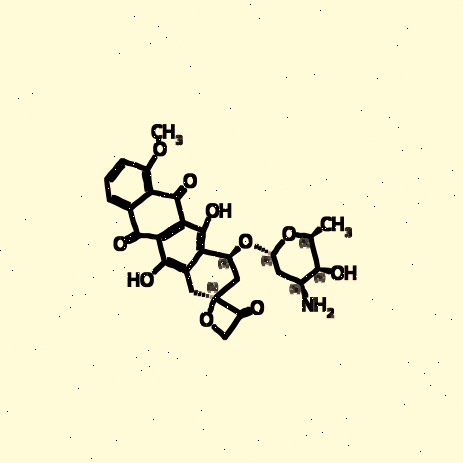 COc1cccc2c1C(=O)c1c(O)c3c(c(O)c1C2=O)C[C@@]1(C[C@@H]3O[C@H]2C[C@H](N)[C@H](O)[C@H](C)O2)OCC1=O